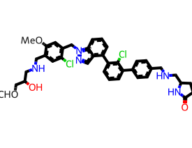 COc1cc(Cn2ncc3c(-c4cccc(-c5ccc(CNCC6CCC(=O)N6)cc5)c4Cl)cccc32)c(Cl)cc1CNCC(O)CC=O